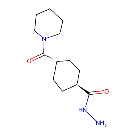 NNC(=O)[C@H]1CC[C@H](C(=O)N2CCCCC2)CC1